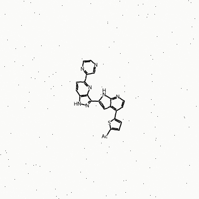 CC(=O)c1ccc(-c2ccnc3[nH]c(-c4n[nH]c5ccc(-c6cnccn6)nc45)cc23)s1